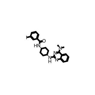 CN(C)c1nc(N[C@H]2CC[C@@H](NC(=O)c3cccc(I)c3)CC2)nc2ccccc12